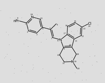 CCCc1ccc(C(C)=Cn2c3c(c4cc(Cl)ccc42)CN(C)CC3)cn1